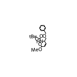 COC(=O)/C=C\C(COCc1ccccc1)NC(=O)OC(C)(C)C